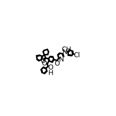 CN(c1ccc(Cl)cc1)c1ccc(C(=O)c2ccc(C(=O)C3(c4ccccc4)CCCCC3)c(C(=O)C(O)c3ccccc3)c2)nc1